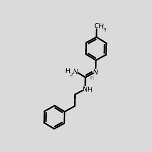 Cc1ccc(/N=C(\N)NCCc2ccccc2)cc1